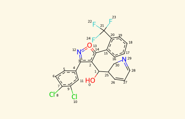 OC(c1c(-c2ccc(Cl)c(Cl)c2)noc1-c1ccccc1C(F)(F)F)C1C=CC=NC1